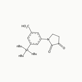 CCC[CH2][Sn]([CH2]CCC)([CH2]CCC)[c]1cc(C(=O)O)cc(N2CCC(=O)C2=O)c1